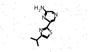 CC(C)c1csc(-c2cncc(N)n2)n1